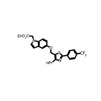 CCCc1nc(-c2ccc(C(F)(F)F)cc2)sc1COc1ccc2c(ccn2CC(=O)OCC)c1